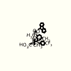 C[C@@H]1CC[C@H](N(C)C(=O)OCC2c3ccccc3-c3ccccc32)C(=O)N([C@@H](Cc2ccc(C(F)(F)F)cc2)C(=O)N(C)CC(=O)O)C1